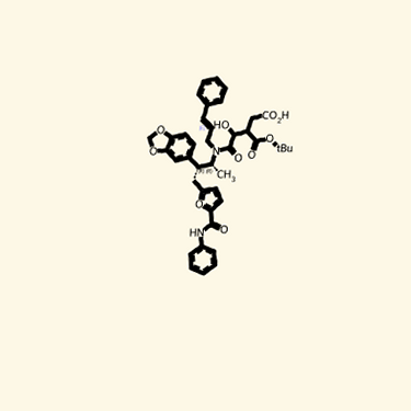 C[C@H]([C@H](Cc1ccc(C(=O)Nc2ccccc2)o1)c1ccc2c(c1)OCO2)N(C/C=C/c1ccccc1)C(=O)C(O)C(CC(=O)O)C(=O)OC(C)(C)C